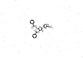 O=C(OC[C@H]1O[C@H](c2c[nH]c([N+](=O)[O-])n2)[C@H](F)[C@@H]1OC(=O)c1ccccc1)c1ccccc1